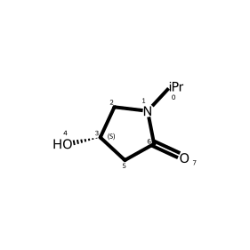 CC(C)N1C[C@@H](O)CC1=O